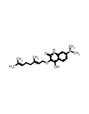 CC(C)=CCC/C(C)=C/COc1c(O)c2ccc(N(C)C)cc2[nH]c1=O